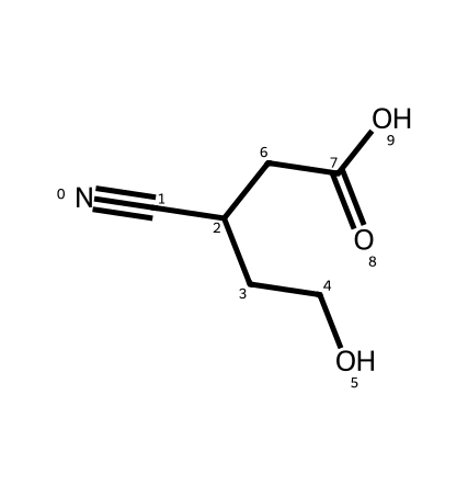 N#CC(CCO)CC(=O)O